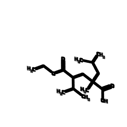 CCOC(=O)C(CC(C)(CC(C)C)C(=O)O)C(C)C